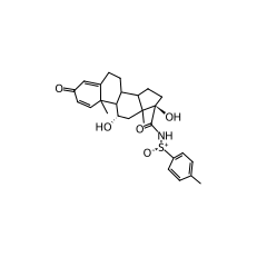 Cc1ccc([S@@+]([O-])NC(=O)[C@@]2(O)CCC3C4CCC5=CC(=O)C=CC5(C)C4[C@@H](O)CC32C)cc1